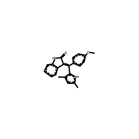 COc1ccc(/C(=C2\C(=O)Nc3ccccc32)c2[nH]c(C)cc2C)cc1